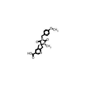 COc1ccc(CN2C(=O)N(C)[C@]3(Cc4cc(C(=O)O)cnc4C3)C2=O)cc1